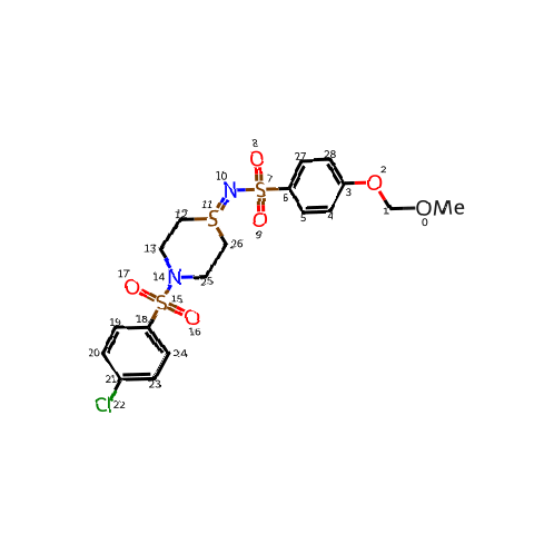 COCOc1ccc(S(=O)(=O)N=S2CCN(S(=O)(=O)c3ccc(Cl)cc3)CC2)cc1